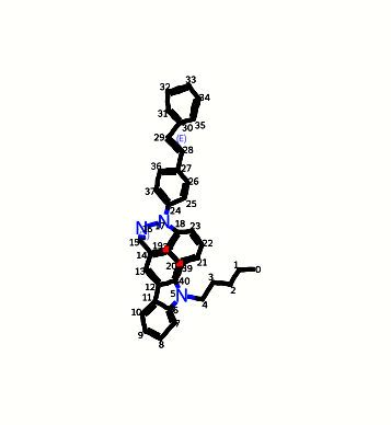 CCCCCn1c2ccccc2c2cc(/C=N\N(c3ccccc3)c3ccc(/C=C/c4ccccc4)cc3)ccc21